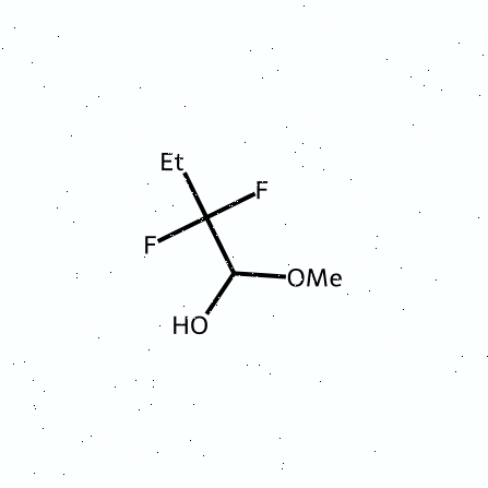 CCC(F)(F)C(O)OC